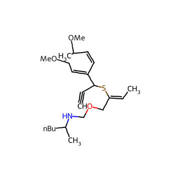 C#CC(S/C(=C\C)COCNC(C)CCCC)C(/C=C\C(C)OC)=C/COC